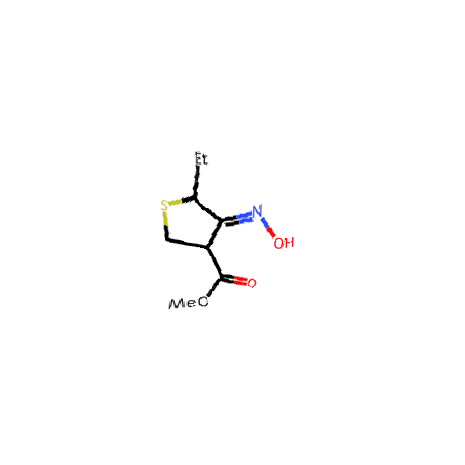 CCC1SCC(C(=O)OC)C1=NO